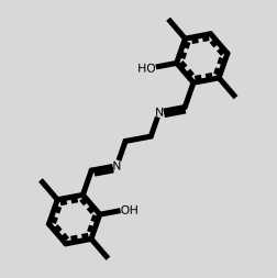 Cc1ccc(C)c(C=NCCN=Cc2c(C)ccc(C)c2O)c1O